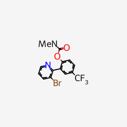 CNC(=O)Oc1ccc(C(F)(F)F)cc1-c1ncccc1Br